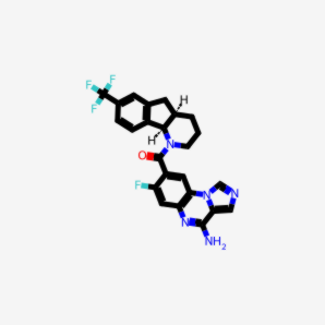 Nc1nc2cc(F)c(C(=O)N3CCC[C@@H]4Cc5cc(C(F)(F)F)ccc5[C@@H]43)cc2n2cncc12